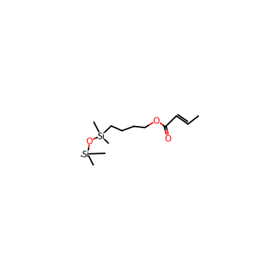 CC=CC(=O)OCCCC[Si](C)(C)O[Si](C)(C)C